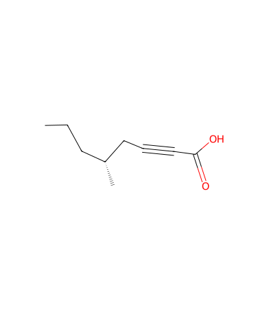 CCC[C@@H](C)CC#CC(=O)O